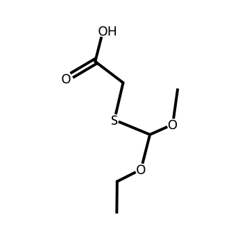 CCOC(OC)SCC(=O)O